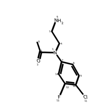 CC(=O)N(CCN)c1ccc(Cl)c(F)c1